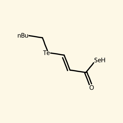 CCCCC[Te]/C=C/C(=O)[SeH]